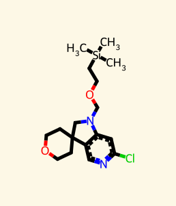 C[Si](C)(C)CCOCN1CC2(CCOCC2)c2cnc(Cl)cc21